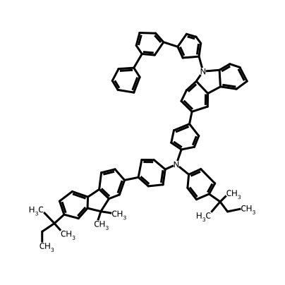 CCC(C)(C)c1ccc(N(c2ccc(-c3ccc4c(c3)C(C)(C)c3cc(C(C)(C)CC)ccc3-4)cc2)c2ccc(-c3ccc4c(c3)c3ccccc3n4-c3cccc(-c4cccc(-c5ccccc5)c4)c3)cc2)cc1